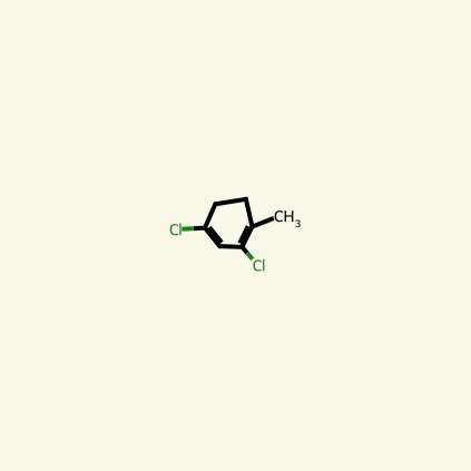 CC1=C(Cl)C=C(Cl)CC1